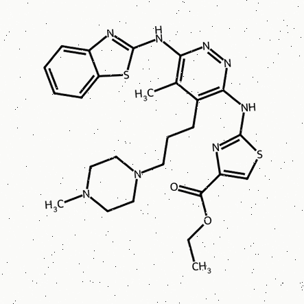 CCOC(=O)c1csc(Nc2nnc(Nc3nc4ccccc4s3)c(C)c2CCCN2CCN(C)CC2)n1